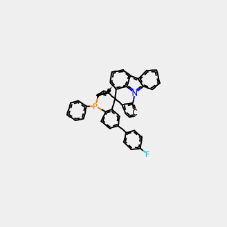 Fc1ccc(-c2ccc3c(c2)C2(c4ccccc4-n4c5ccccc5c5cccc2c54)c2ccccc2P3c2ccccc2)cc1